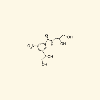 O=C(NCC(O)CO)c1cc(C(O)CO)cc([N+](=O)[O-])c1